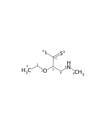 CCOC(CNC)C(=S)I